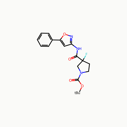 CC(C)(C)OC(=O)N1CCC(F)(C(=O)Nc2cc(-c3ccccc3)on2)C1